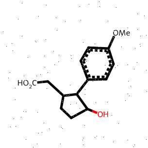 COc1ccc(C2C(O)CCC2CC(=O)O)cc1